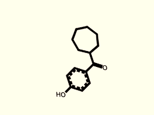 O=C(c1ccc(O)cc1)C1CCCCCC1